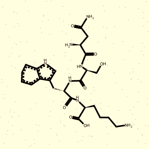 NCCCC[C@H](NC(=O)[C@H](Cc1c[nH]c2ccccc12)NC(=O)[C@H](CO)NC(=O)[C@@H](N)CC(N)=O)C(=O)O